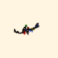 COc1ccc(Cl)cc1C(=O)N1CCC[C@@H](C(=O)NCCSSCCN(C)C)C1